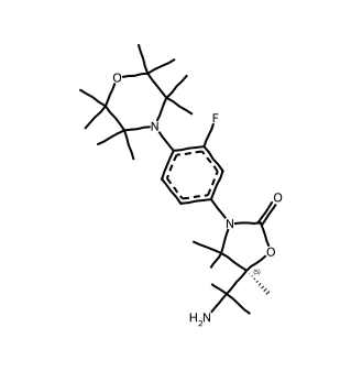 CC1(C)OC(C)(C)C(C)(C)N(c2ccc(N3C(=O)O[C@@](C)(C(C)(C)N)C3(C)C)cc2F)C1(C)C